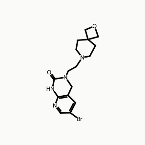 O=C1Nc2ncc(Br)cc2CN1CCN1CCC2(CC1)COC2